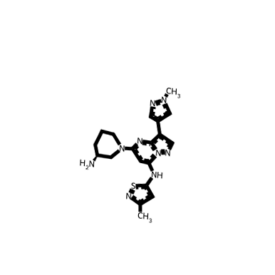 Cc1cc(Nc2cc(N3CCC[C@H](N)C3)nc3c(-c4cnn(C)c4)cnn23)sn1